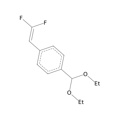 CCOC(OCC)c1ccc(C=C(F)F)cc1